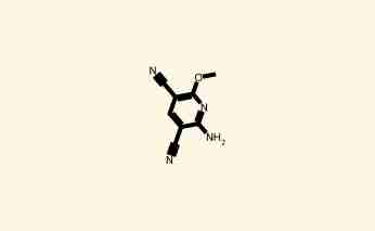 COc1nc(N)c(C#N)cc1C#N